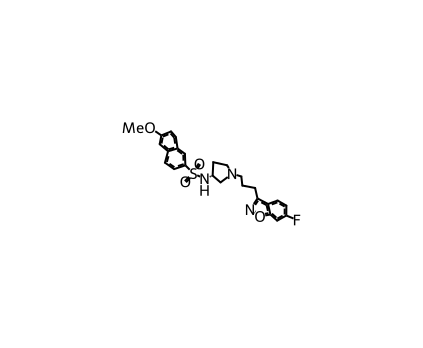 COc1ccc2cc(S(=O)(=O)N[C@@H]3CCN(CCCc4noc5cc(F)ccc45)C3)ccc2c1